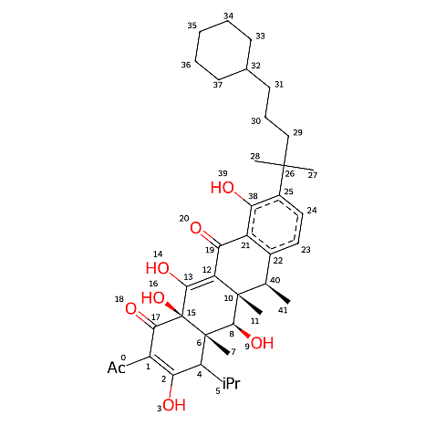 CC(=O)C1=C(O)C(C(C)C)[C@@]2(C)[C@H](O)[C@]3(C)C(=C(O)[C@@]2(O)C1=O)C(=O)c1c(ccc(C(C)(C)CCCC2CCCCC2)c1O)[C@H]3C